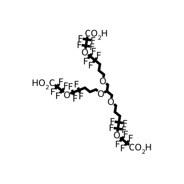 O=C(O)C(F)(F)C(F)(F)OC(F)(F)C(F)(F)CCCOCC(COCCCC(F)(F)C(F)(F)OC(F)(F)C(F)(F)C(=O)O)OCCCC(F)(F)C(F)(F)OC(F)(F)C(F)(F)C(=O)O